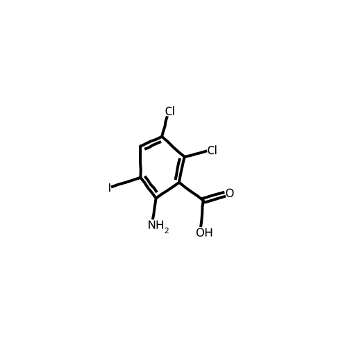 Nc1c(I)cc(Cl)c(Cl)c1C(=O)O